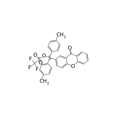 Cc1ccc(S(OS(=O)(=O)C(F)(F)F)(c2ccc(C)cc2)c2ccc3oc4ccccc4c(=O)c3c2)cc1